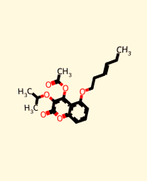 CCC=CCCOc1cccc2oc(=O)c(OC(C)C)c(OC(C)=O)c12